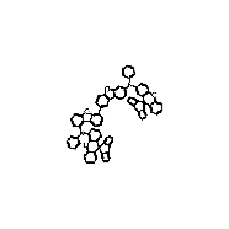 c1ccc(N(c2ccc3c(c2)C2(c4ccccc4O3)c3ccccc3-c3ccccc32)c2ccc3c(c2)oc2ccc(-c4cccc5c4oc4cccc(N(c6ccccc6)c6cccc7c6Oc6ccccc6C76c7ccccc7-c7ccccc76)c45)cc23)cc1